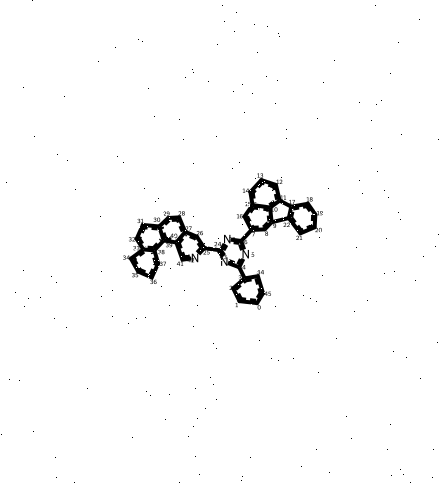 c1ccc(-c2nc(-c3cc4c5c(cccc5c3)-c3ccccc3-4)nc(-c3cc4ccc5ccc6ccccc6c5c4cn3)n2)cc1